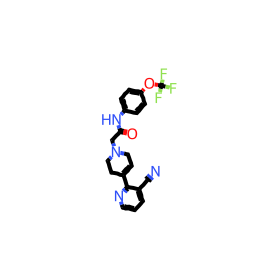 N#Cc1cccnc1C1=CCN(CC(=O)Nc2ccc(OC(F)(F)F)cc2)CC1